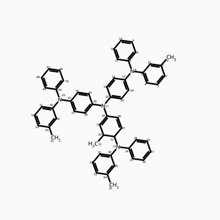 Cc1cccc(N(c2ccccc2)c2ccc(N(C3=CC(C)C(N(c4ccccc4)c4cccc(C)c4)C=C3)c3ccc(N(c4ccccc4)c4cccc(C)c4)cc3)cc2)c1